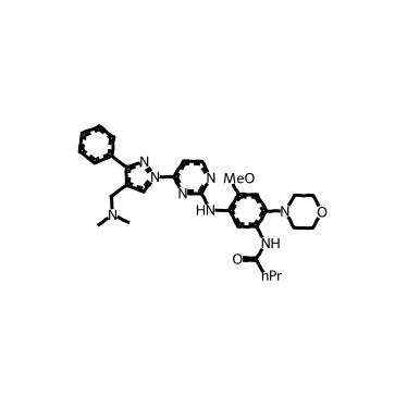 CCCC(=O)Nc1cc(Nc2nccc(-n3cc(CN(C)C)c(-c4ccccc4)n3)n2)c(OC)cc1N1CCOCC1